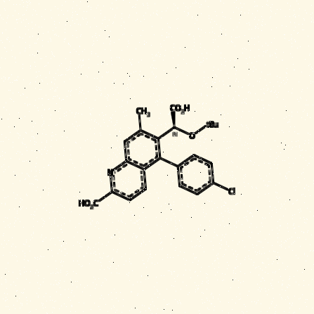 Cc1cc2nc(C(=O)O)ccc2c(-c2ccc(Cl)cc2)c1[C@H](OC(C)(C)C)C(=O)O